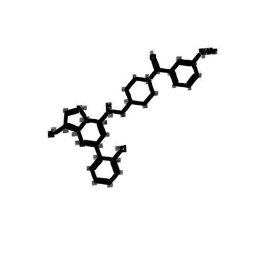 CC(=O)Nc1cccc(C(=O)N2CCC(CNc3cc(-c4ccccc4Cl)nc4c(Br)cnn34)CC2)c1